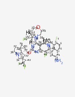 C#Cc1c(F)ccc2cc(N)cc(-c3ncc4c(N5CCOC[C@H]6[C@H](F)[C@H]65)nc(OC[C@]56CC7(CN5CCC65CC5)CC7(F)F)nc4c3F)c12